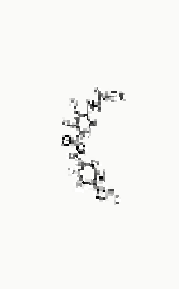 CCN(C)/C=N/c1ccc(C(=O)OCc2ccc(C(F)(F)F)nc2)c(C)c1C